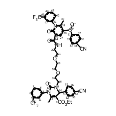 CCOC(=O)C1=C(C)N(c2cccc(C(F)(F)F)c2)C(=O)N(CCOCCOCCNC(=O)c2cc([S+]([O-])c3ccc(C#N)cc3)c(C)n(-c3cccc(C(F)(F)F)c3)c2=O)C1c1ccc(C#N)cc1